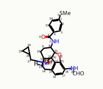 CSc1ccc(C(=O)NC2CC[C@@]3(O)[C@H]4Cc5ccc(NC=O)c6c5[C@@]3(CCN4CC3CC3)C2O6)cc1